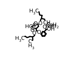 CCCCC(CC)COC(=O)CC(C(=O)OCC(CC)CCCC)S(=O)(=O)O.O=C(O)c1ccccc1.[NaH].[SnH2]